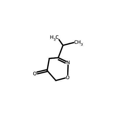 CC(C)C1=NOCC(=O)C1